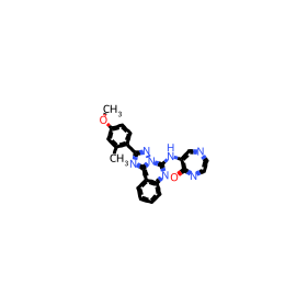 COc1ccc(-c2nc3c4ccccc4nc(Nc4cnccnc4=O)n3n2)c(C)c1